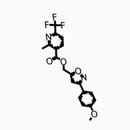 COc1ccc(-c2cc(COC(=O)c3ccc(C(F)(F)F)nc3C)on2)cc1